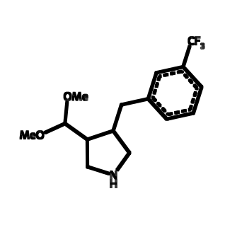 COC(OC)C1CNCC1Cc1cccc(C(F)(F)F)c1